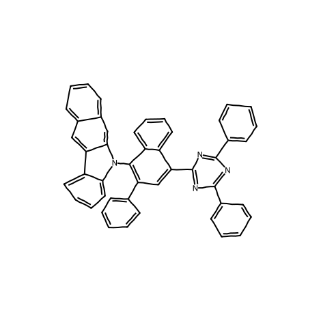 c1ccc(-c2nc(-c3ccccc3)nc(-c3cc(-c4ccccc4)c(-n4c5ccccc5c5cc6ccccc6cc54)c4ccccc34)n2)cc1